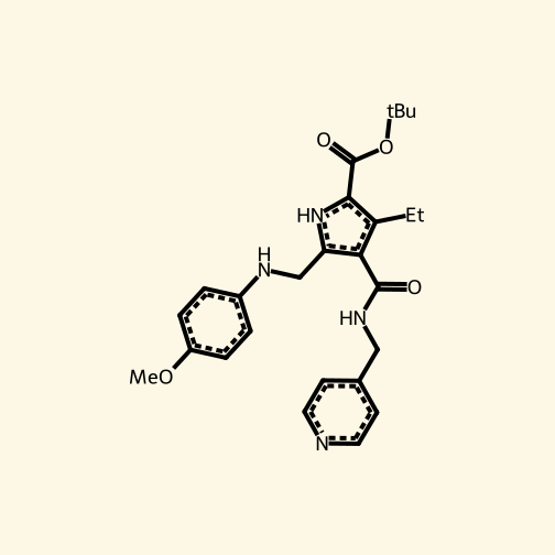 CCc1c(C(=O)OC(C)(C)C)[nH]c(CNc2ccc(OC)cc2)c1C(=O)NCc1ccncc1